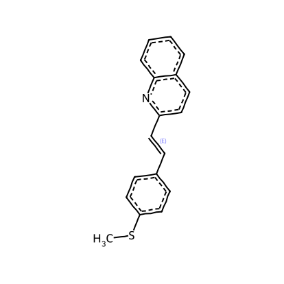 CSc1ccc(/C=C/c2ccc3ccccc3n2)cc1